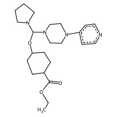 CCOC(=O)C1CCC(OC(N2CCCC2)N2CCN(c3ccncc3)CC2)CC1